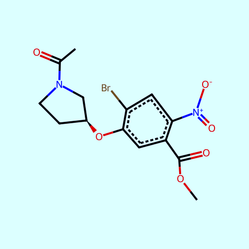 COC(=O)c1cc(O[C@H]2CCN(C(C)=O)C2)c(Br)cc1[N+](=O)[O-]